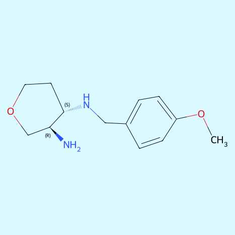 COc1ccc(CN[C@H]2CCOC[C@@H]2N)cc1